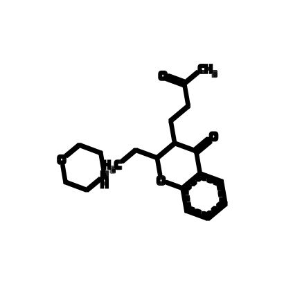 C1COCCN1.CCC1Oc2ccccc2C(=O)C1CCC(C)=O